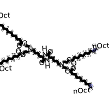 CCCCCCCC/C=C\CCCCCCCCCCCC(=O)OCCN(CCCCC1NC(=O)C(CCCCN(CCOC(=O)CCCCCCC/C=C\CCCCCCCC)CCOC(=O)CCCCCCC/C=C\CCCCCCCC)NC1=O)CCOC(=O)CCCCCCC/C=C\CCCCCCCC